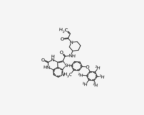 [2H]c1c([2H])c([2H])c(Oc2ccc([SH]3C(C(=O)NC4CCCN(C(=O)C=C)C4)=C4NC(=O)Nc5ccnc3c54)c(C)c2)c([2H])c1[2H]